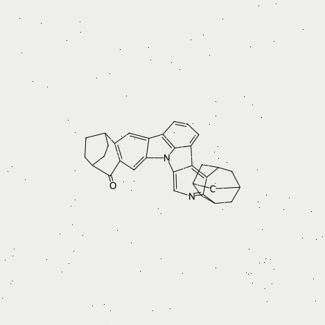 O=C1c2cc3c(cc2C2CCC1CC2)c1cccc2c4c5c(ncc4n3c12)C1CC2CC(C1)CC5C2